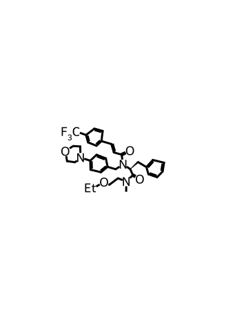 CCOCCN(C)C(=O)[C@H](Cc1ccccc1)N(Cc1ccc(N2CCOCC2)cc1)C(=O)C=Cc1ccc(C(F)(F)F)cc1